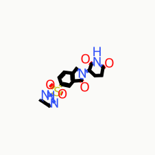 O=C1CCC(N2Cc3ccc(S(=O)(=O)n4nccn4)cc3C2=O)C(=O)N1